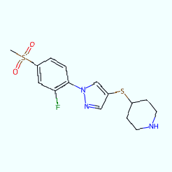 CS(=O)(=O)c1ccc(-n2cc(SC3CCNCC3)cn2)c(F)c1